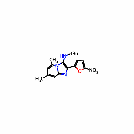 Cc1cc(C)n2c(NC(C)(C)C)c(-c3ccc([N+](=O)[O-])o3)nc2c1